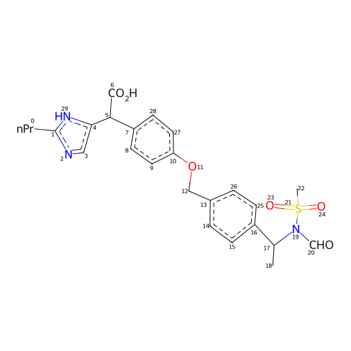 CCCc1ncc(C(C(=O)O)c2ccc(OCc3ccc(C(C)N(C=O)S(C)(=O)=O)cc3)cc2)[nH]1